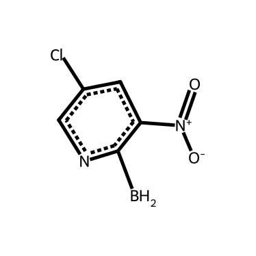 Bc1ncc(Cl)cc1[N+](=O)[O-]